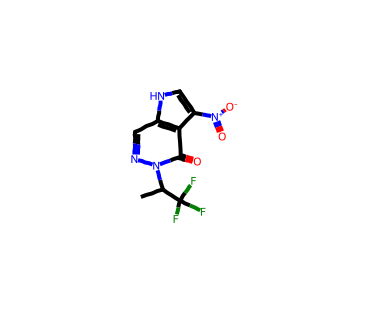 CC(n1ncc2[nH]cc([N+](=O)[O-])c2c1=O)C(F)(F)F